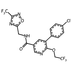 O=C(NCc1nc(C(F)(F)F)no1)c1cnc(OCC(F)(F)F)c(-c2ccc(Cl)cc2)c1